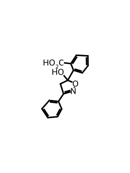 O=C(O)c1ccccc1C1(O)CC(c2ccccc2)=NO1